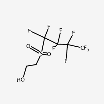 O=S(=O)(CCO)C(F)(F)C(F)(F)C(F)(F)C(F)(F)F